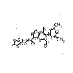 C[C@@H]1CN(c2c(C=O)cc3c(C(=O)NCc4cccs4)noc3c2F)C[C@H](C)O1